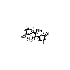 N[C@H](c1cccc(O)c1)[C@@H](N)c1cccc(O)c1